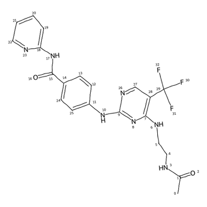 CC(=O)NCCNc1nc(Nc2ccc(C(=O)Nc3ccccn3)cc2)ncc1C(F)(F)F